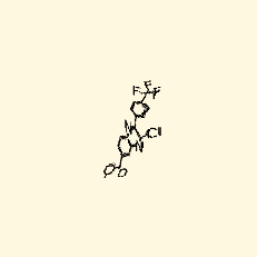 COC(=O)c1ccc2nc(-c3ccc(C(F)(F)F)cc3)c(Cl)nc2c1